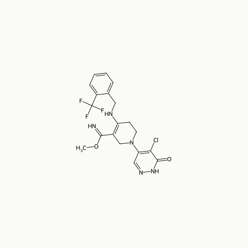 COC(=N)C1=C(NCc2ccccc2C(F)(F)F)CCN(c2cn[nH]c(=O)c2Cl)C1